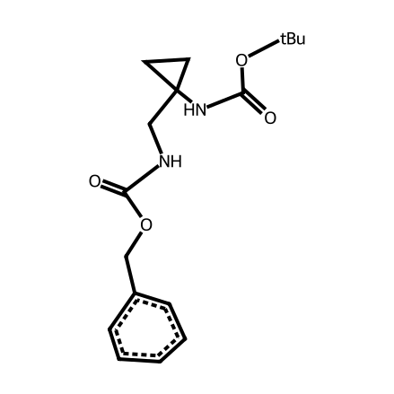 CC(C)(C)OC(=O)NC1(CNC(=O)OCc2ccccc2)CC1